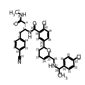 CNC(=O)C[C@@H](Cc1ccc(C#N)cc1)NC(=O)c1cc(C2CCC=C(CNC(C)c3ccc(Cl)cc3)O2)ccc1Cl